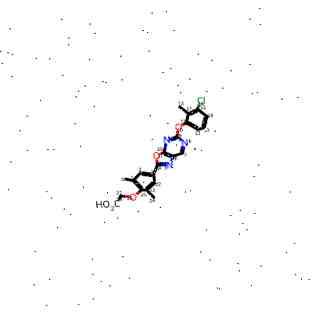 Cc1cc(-c2nc3cnc(Oc4cccc(Cl)c4C)nc3o2)cc(C)c1OCC(=O)O